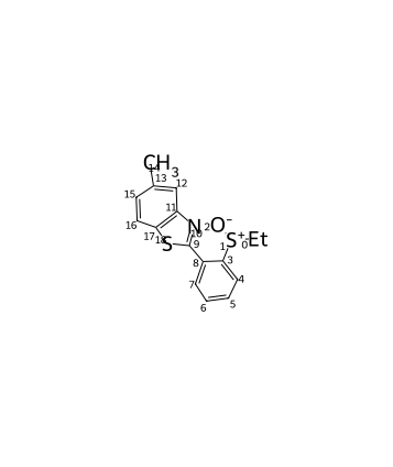 CC[S+]([O-])c1ccccc1-c1nc2cc(C)ccc2s1